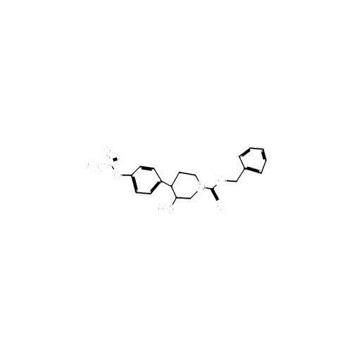 O=C(OCc1ccccc1)N1CCC(c2ccc(OS(=O)(=O)C(F)(F)F)cc2)C(O)C1